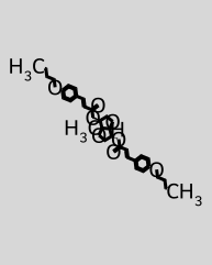 CCCCOc1ccc(/C=C/C(=O)O[C@H]2CO[C@@H]3[C@H](OC(=O)/C=C/c4ccc(OCCCC)cc4)CO[C@]23C)cc1